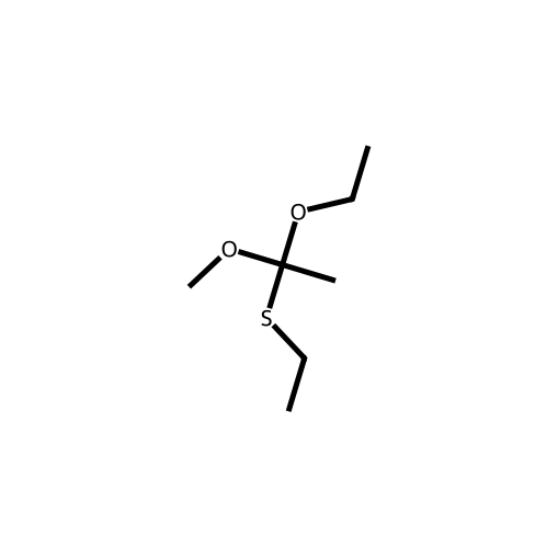 CCOC(C)(OC)SCC